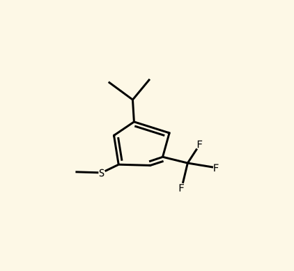 CSc1cc(C(C)C)cc(C(F)(F)F)c1